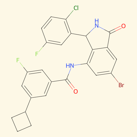 O=C(Nc1cc(Br)cc2c1C(c1cc(F)ccc1Cl)NC2=O)c1cc(F)cc(C2CCC2)c1